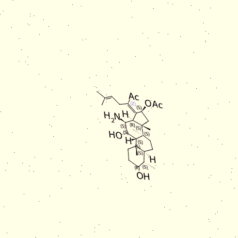 CC(=O)O[C@H]1C[C@@]2(C)[C@H](/C1=C(\CC=C(C)C)C(C)=O)[C@H](N)[C@@H](O)[C@H]1[C@@]3(C)CC[C@@H](O)[C@@H](C)[C@@H]3CC[C@@]12C